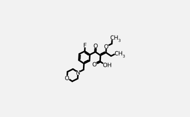 CCOC(CC)=C(C(=O)O)C(=O)c1cc(CN2CCOCC2)ccc1F